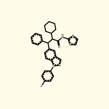 O=C(Nc1nccs1)C(C1CCCCC1)C(c1ccccc1)c1ccc2c(cnn2-c2ccc(F)cc2)c1